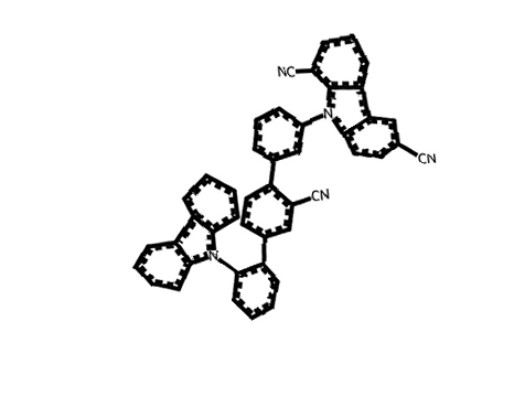 N#Cc1ccc2c(c1)c1cccc(C#N)c1n2-c1cccc(-c2ccc(-c3ccccc3-n3c4ccccc4c4ccccc43)cc2C#N)c1